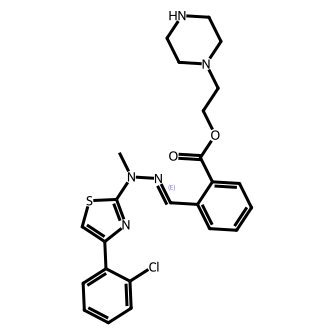 CN(/N=C/c1ccccc1C(=O)OCCN1CCNCC1)c1nc(-c2ccccc2Cl)cs1